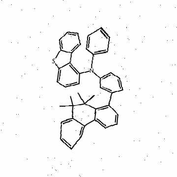 CC1(C)c2ccccc2-c2cccc(-c3cccc(N(c4ccccc4)c4cccc5sc6ccccc6c45)c3)c2C1(C)C